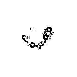 Cl.O=C(NCc1cnc(-c2ccc(OCCC3CCCN3)cc2)s1)c1ccc2c(c1)NC(=O)c1ccccc1S2(=O)=O